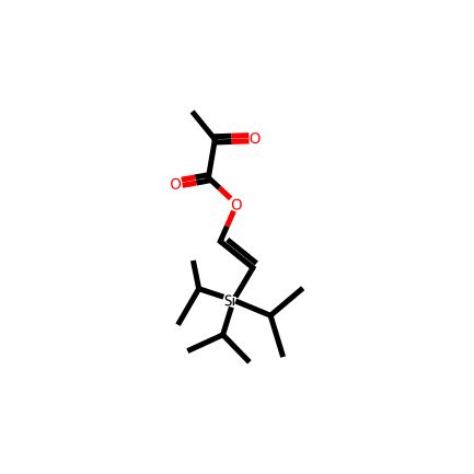 CC(=O)C(=O)OC=C[Si](C(C)C)(C(C)C)C(C)C